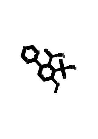 COc1ccc(-c2ncncn2)c(C(N)=O)c1S(N)(=O)=O